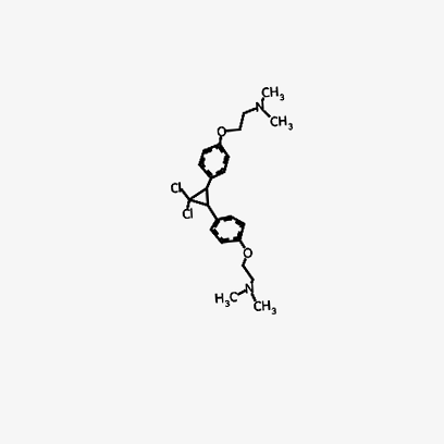 CN(C)CCOc1ccc(C2C(c3ccc(OCCN(C)C)cc3)C2(Cl)Cl)cc1